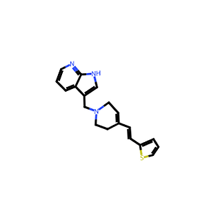 C(=Cc1cccs1)C1=CCN(Cc2c[nH]c3ncccc23)CC1